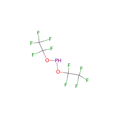 FC(F)(F)C(F)(F)OPOC(F)(F)C(F)(F)F